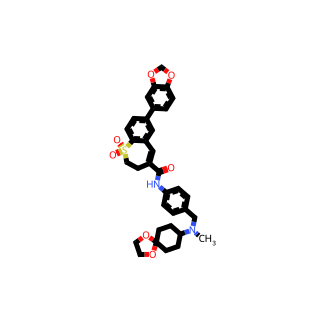 CN(Cc1ccc(NC(=O)C2=Cc3cc(-c4ccc5c(c4)OCO5)ccc3S(=O)(=O)CC2)cc1)C1CCC2(CC1)OCCO2